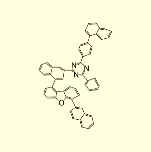 c1ccc(-c2nc(-c3ccc(-c4cccc5ccccc45)cc3)nc(-c3cc(-c4cccc5oc6c(-c7ccc8ccccc8c7)cccc6c45)c4ccccc4c3)n2)cc1